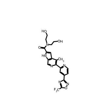 Cc1c(-c2cc(-c3noc(C(F)(F)F)n3)ccn2)ncc2[nH]c(C(=O)N(CCO)CCO)cc12